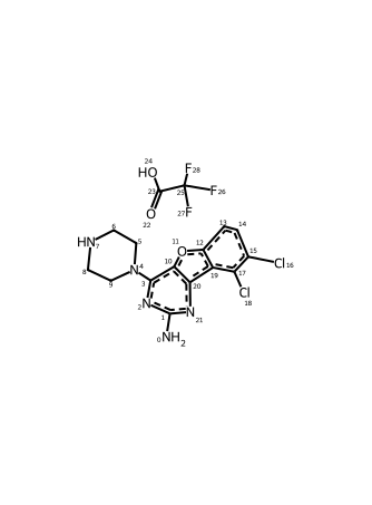 Nc1nc(N2CCNCC2)c2oc3ccc(Cl)c(Cl)c3c2n1.O=C(O)C(F)(F)F